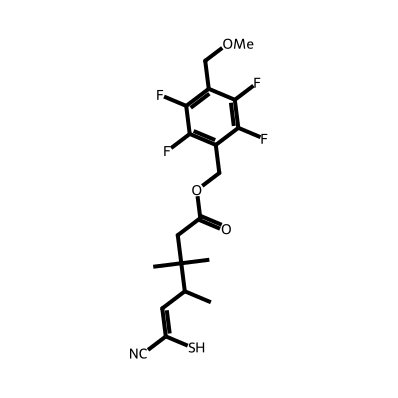 COCc1c(F)c(F)c(COC(=O)CC(C)(C)C(C)C=C(S)C#N)c(F)c1F